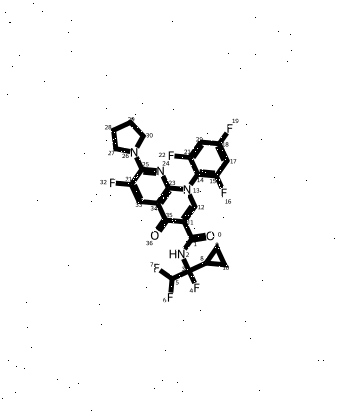 O=C(NC(F)(C(F)F)C1CC1)c1cn(-c2c(F)cc(F)cc2F)c2nc(N3CCCC3)c(F)cc2c1=O